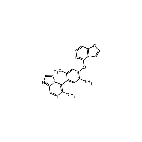 Cc1cc(-c2c(C)ncc3nccn23)c(C)cc1Oc1nccc2occc12